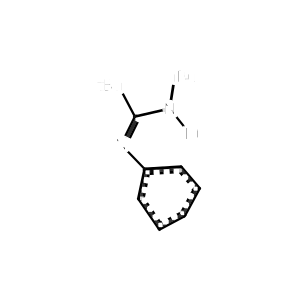 CCC(C)N(CC)C(=Nc1ccccc1)C(C)(C)C